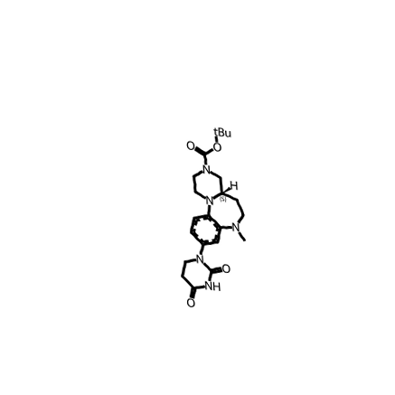 CN1CC[C@H]2CN(C(=O)OC(C)(C)C)CCN2c2ccc(N3CCC(=O)NC3=O)cc21